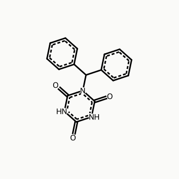 O=c1[nH]c(=O)n(C(c2ccccc2)c2ccccc2)c(=O)[nH]1